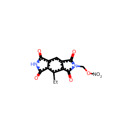 CCc1c2c(=O)[nH]c(=O)c2cc2c(=O)n(CO[N+](=O)[O-])c(=O)c12